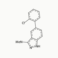 CNc1n[nH]c2ccc(-c3ccccc3Cl)cc12